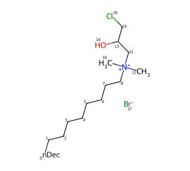 CCCCCCCCCCCCCCCCCC[N+](C)(C)CC(O)CCl.[Br-]